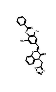 CC(C)(C)c1cc(/C=C2\Sc3ccccc3N(Cc3nnn[nH]3)C2=O)cc(C(C)(C)C)c1OC(=O)c1ccccc1